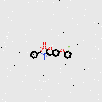 O=C(O)/C(=C\c1ccc(Oc2ccccc2F)cc1)NC(=O)c1ccccc1